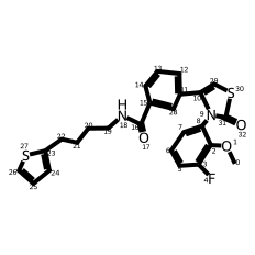 COc1c(F)cccc1-n1c(-c2cccc(C(=O)NCCCCc3cccs3)c2)csc1=O